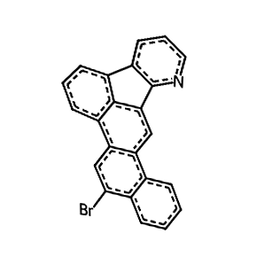 Brc1cc2c3cccc4c3c(cc2c2ccccc12)-c1ncccc1-4